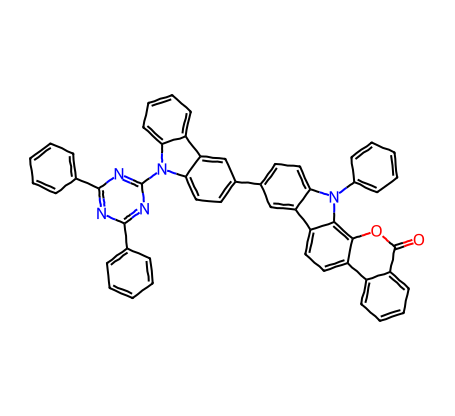 O=c1oc2c(ccc3c4cc(-c5ccc6c(c5)c5ccccc5n6-c5nc(-c6ccccc6)nc(-c6ccccc6)n5)ccc4n(-c4ccccc4)c32)c2ccccc12